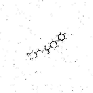 CCN(CC)CCNC(=O)N1CCN(c2ccccc2)CC1